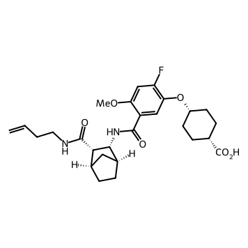 C=CCCNC(=O)[C@H]1[C@@H]2CC[C@@H](C2)[C@H]1NC(=O)c1cc(O[C@H]2CC[C@@H](C(=O)O)CC2)c(F)cc1OC